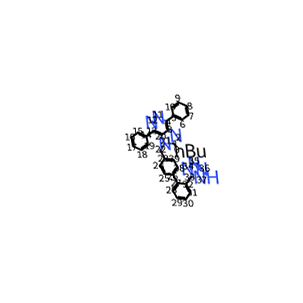 CCCCc1nc2c(-c3ccccc3)nnc(-c3ccccc3)c2n1Cc1ccc(-c2ccccc2-c2nnn[nH]2)cc1